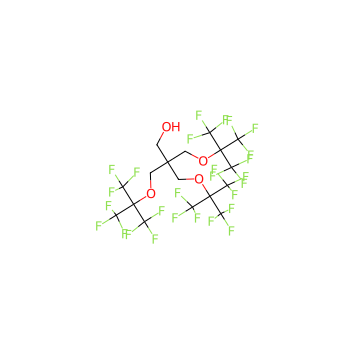 OCC(COC(C(F)(F)F)(C(F)(F)F)C(F)(F)F)(COC(C(F)(F)F)(C(F)(F)F)C(F)(F)F)COC(C(F)(F)F)(C(F)(F)F)C(F)(F)F